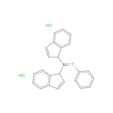 C1=C[CH]([Ti](=[P]c2ccccc2)[CH]2C=Cc3ccccc32)c2ccccc21.Cl.Cl